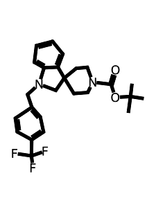 CC(C)(C)OC(=O)N1CCC2(CC1)CN(Cc1ccc(C(F)(F)F)cc1)c1ccccc12